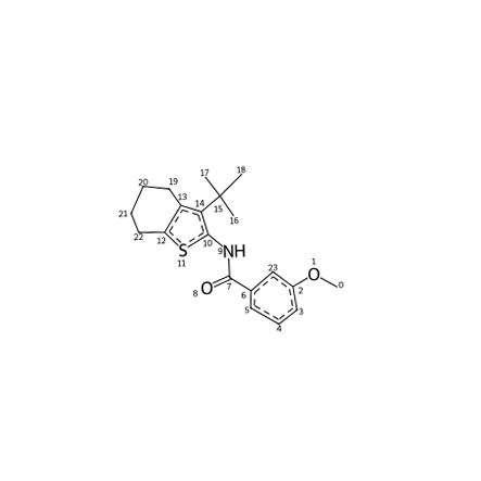 COc1cccc(C(=O)Nc2sc3c(c2C(C)(C)C)CCCC3)c1